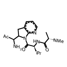 CN[C@@H](C)C(=O)N[C@H](C(=O)N1c2ncccc2CC1C(N)C(C)=O)C(C)C